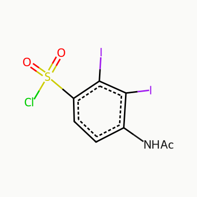 CC(=O)Nc1ccc(S(=O)(=O)Cl)c(I)c1I